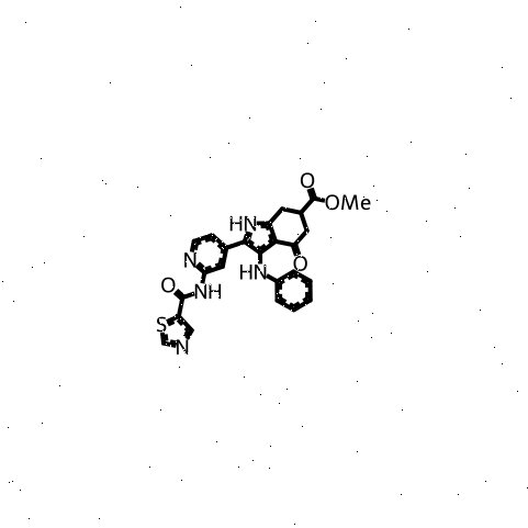 COC(=O)C1CC(=O)c2c([nH]c(-c3ccnc(NC(=O)c4cncs4)c3)c2Nc2ccccc2)C1